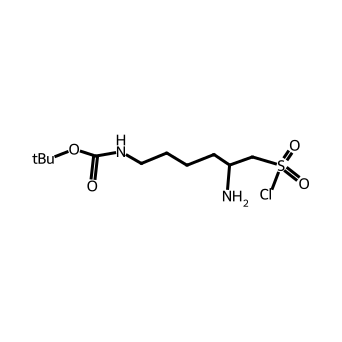 CC(C)(C)OC(=O)NCCCCC(N)CS(=O)(=O)Cl